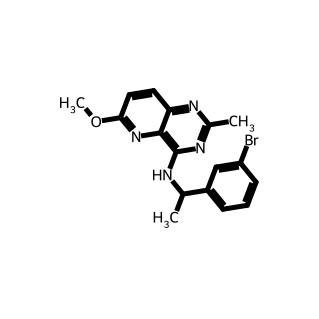 COc1ccc2nc(C)nc(NC(C)c3cccc(Br)c3)c2n1